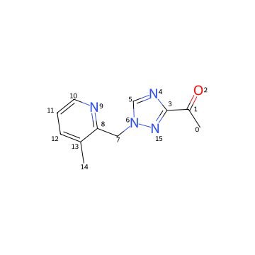 CC(=O)c1ncn(Cc2ncccc2C)n1